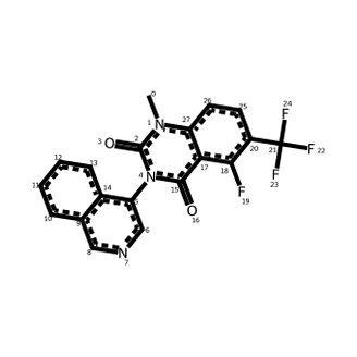 Cn1c(=O)n(-c2cncc3ccccc23)c(=O)c2c(F)c(C(F)(F)F)ccc21